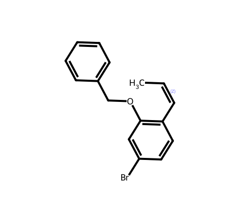 C/C=C\c1ccc(Br)cc1OCc1ccccc1